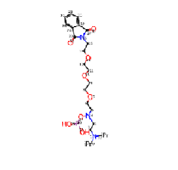 CC(C)N(CCN(CCOCCOCCOCCN1C(=O)c2ccccc2C1=O)OP(O)O)C(C)C